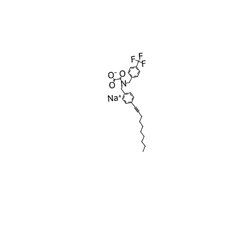 CCCCCCCCC#Cc1ccc(CN(Cc2ccc(C(F)(F)F)cc2)C(=O)C(=O)[O-])cc1.[Na+]